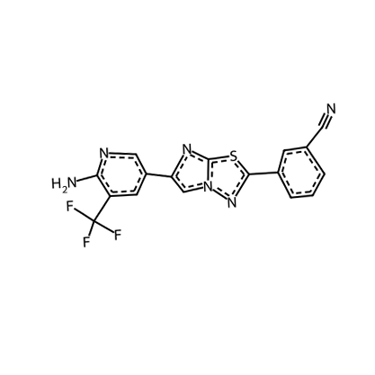 N#Cc1cccc(-c2nn3cc(-c4cnc(N)c(C(F)(F)F)c4)nc3s2)c1